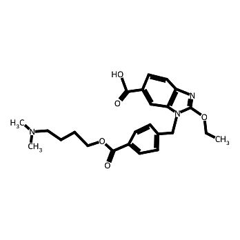 CCOc1nc2ccc(C(=O)O)cc2n1Cc1ccc(C(=O)OCCCCN(C)C)cc1